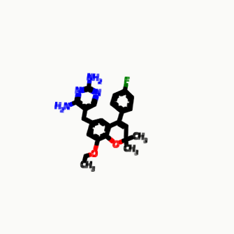 CCOc1cc(Cc2cnc(N)nc2N)cc2c1OC(C)(C)C=C2c1ccc(F)cc1